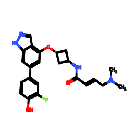 CN(C)C/C=C/C(=O)N[C@H]1C[C@H](Oc2cc(-c3ccc(O)c(F)c3)cc3[nH]ncc23)C1